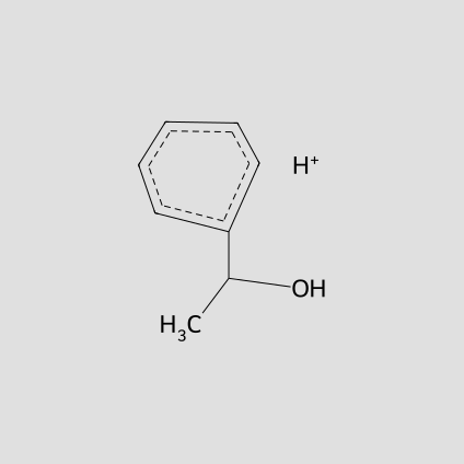 CC(O)c1ccccc1.[H+]